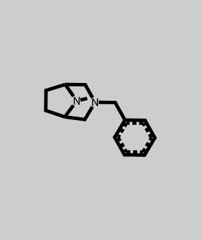 CN1C2CCC1CN(Cc1ccccc1)C2